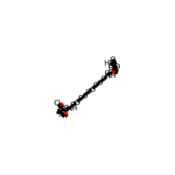 Cc1sc2c(c1C)C(c1ccc(Cl)cc1)=N[C@@H](CC(=O)NCCOCCOCCOCCOCCOCCOCCOCCOCCOCCNC(=O)COc1cccc3c1C(=O)N(C1CCC(=O)NC1=O)C3=O)c1nnc(C)n1-2